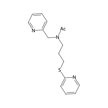 CC(=O)N(CCCSc1ccccn1)Cc1ccccn1